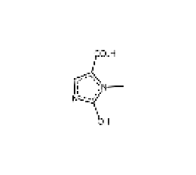 Cn1c(C(=O)O)cnc1O